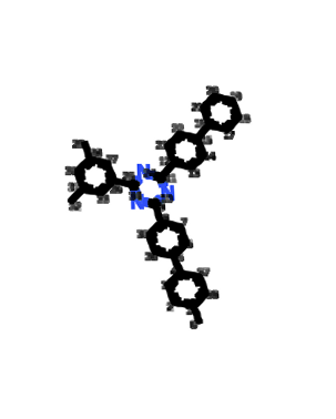 Cc1ccc(-c2ccc(-c3nc(-c4ccc(-c5ccccc5)cc4)nc(-c4cc(C)cc(C)c4)n3)cc2)cc1